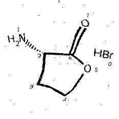 Br.N[C@H]1CCOC1=O